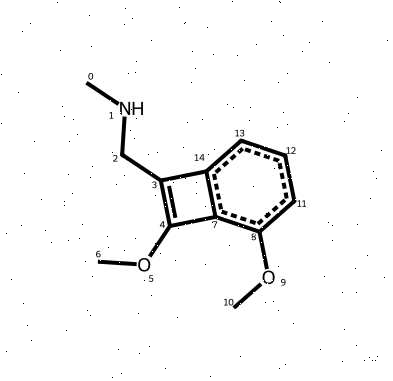 CNCC1=C(OC)c2c(OC)cccc21